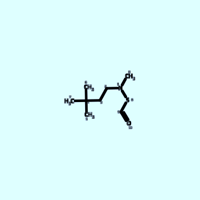 CN(CCC(C)(C)C)S[C]=O